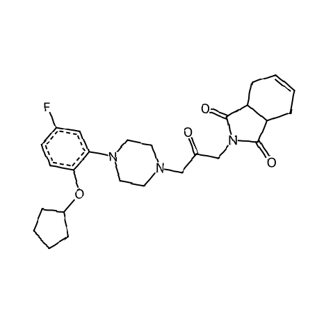 O=C(CN1CCN(c2cc(F)ccc2OC2CCCC2)CC1)CN1C(=O)C2CC=CCC2C1=O